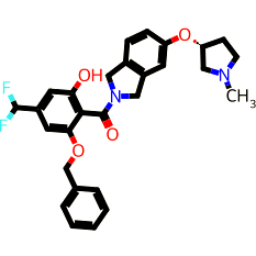 CN1CC[C@@H](Oc2ccc3c(c2)CN(C(=O)c2c(O)cc(C(F)F)cc2OCc2ccccc2)C3)C1